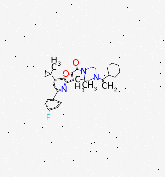 C=C(C1CCCCC1)N1CCN(C(=O)c2cc3nc(-c4ccc(F)cc4)cc(C4(C)CC4)c3o2)C(C)(C)C1